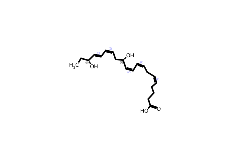 CC[C@H](O)/C=C/C=C\C[C@@H](O)/C=C\C=C/C/C=C\CCCC(=O)O